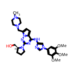 COc1cc(-n2cnc(Nc3nc(N4CCC[C@H]4CO)nn4c(CN5CCN(C)CC5)ccc34)c2)cc(OC)c1OC